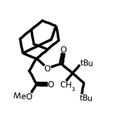 COC(=O)CC1(OC(=O)C(C)(CC(C)(C)C)C(C)(C)C)C2CC3CC(C2)CC1C3